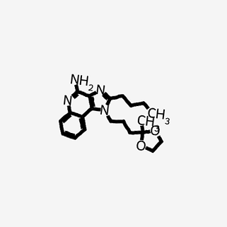 CCCCc1nc2c(N)nc3ccccc3c2n1CCCC1(C)OCCO1